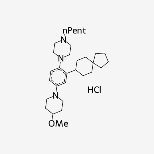 CCCCCN1CCN(c2ccc(N3CCC(OC)CC3)cc2C2CCC3(CCCC3)CC2)CC1.Cl